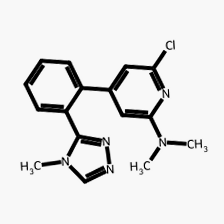 CN(C)c1cc(-c2ccccc2-c2nncn2C)cc(Cl)n1